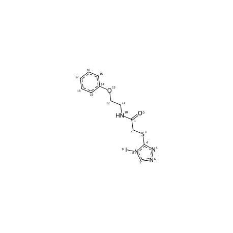 O=C(CSc1nncn1I)NCCOc1ccccc1